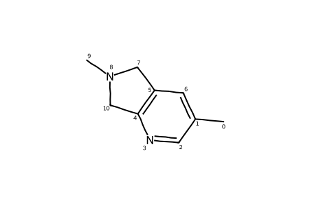 Cc1cnc2c(c1)CN(C)C2